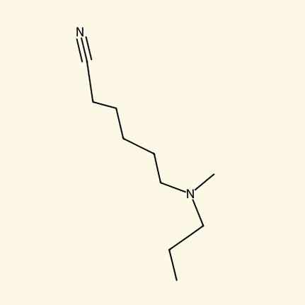 CCCN(C)CCCCCC#N